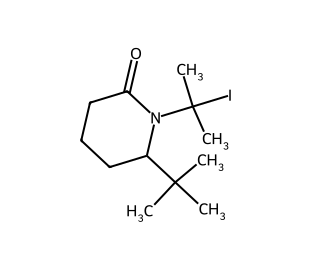 CC(C)(C)C1CCCC(=O)N1C(C)(C)I